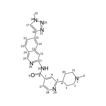 CN1CCC(c2cc(C(=O)Nc3cc4cc(-c5cn(C)nn5)ccc4cn3)ccn2)CC1